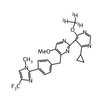 [2H]C([2H])([2H])Oc1ncnc(C2CC2)c1-c1ncc(OC)c(Cc2ccc(-c3nc(C(F)(F)F)cn3C)cc2)n1